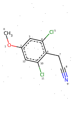 COc1cc(Cl)c(CC#N)c(Cl)c1